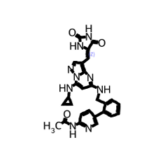 CC(=O)Nc1ccc(-c2ccccc2CNc2cc(NC3CC3)n3ncc(/C=C4\NC(=O)NC4=O)c3n2)cn1